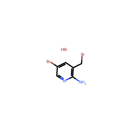 Br.Nc1ncc(Br)cc1CBr